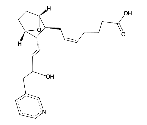 O=C(O)CCC/C=C\C[C@H]1[C@H](/C=C/C(O)Cc2cccnc2)[C@@H]2CC[C@H]1O2